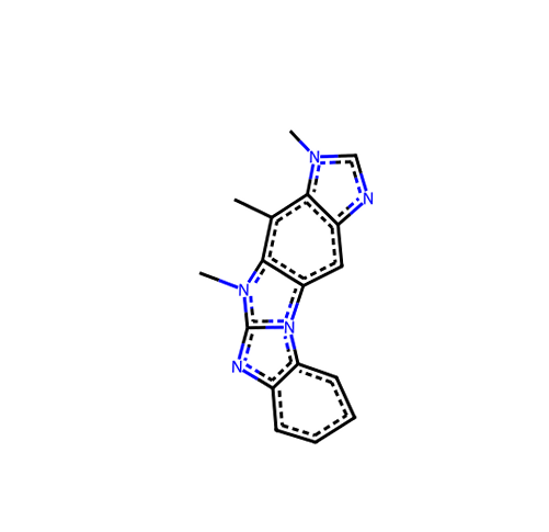 Cc1c2c(cc3c1n(C)c1nc4ccccc4n31)ncn2C